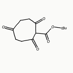 CC(C)(C)OC(=O)C1C(=O)CCC(=O)CCC1=O